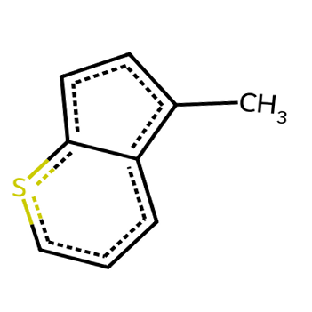 Cc1ccc2scccc1-2